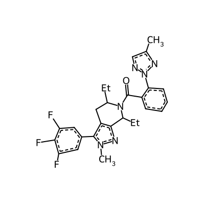 CCC1Cc2c(nn(C)c2-c2cc(F)c(F)c(F)c2)C(CC)N1C(=O)c1ccccc1-n1ncc(C)n1